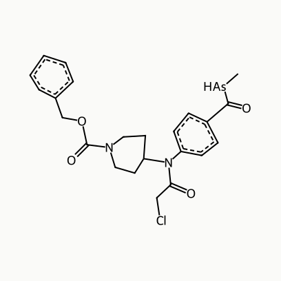 C[AsH]C(=O)c1ccc(N(C(=O)CCl)C2CCN(C(=O)OCc3ccccc3)CC2)cc1